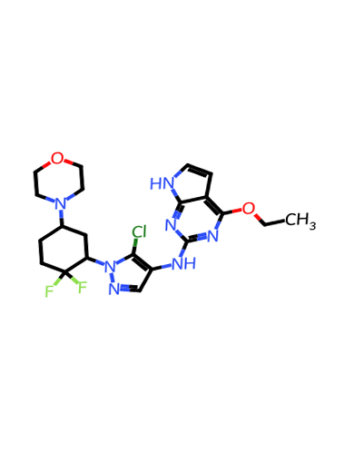 CCOc1nc(Nc2cnn(C3CC(N4CCOCC4)CCC3(F)F)c2Cl)nc2[nH]ccc12